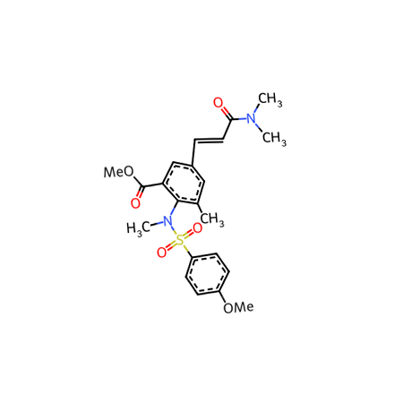 COC(=O)c1cc(C=CC(=O)N(C)C)cc(C)c1N(C)S(=O)(=O)c1ccc(OC)cc1